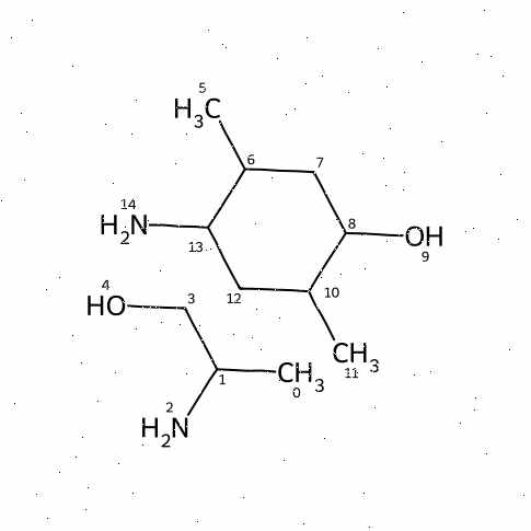 CC(N)CO.CC1CC(O)C(C)CC1N